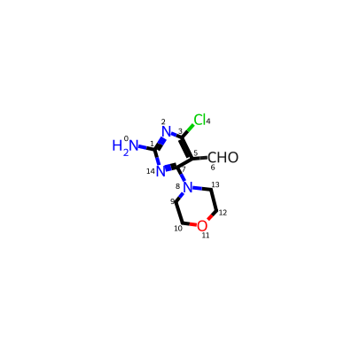 Nc1nc(Cl)c(C=O)c(N2CCOCC2)n1